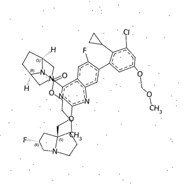 CCCCOC(=O)N1[C@@H]2CC[C@H]1CN(c1nc(OC[C@@]34CCCN3C[C@H](F)C4)nc3cc(-c4cc(OCOC)cc(Cl)c4C4CC4)c(F)cc13)C2